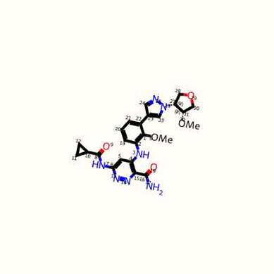 COc1c(Nc2cc(NC(=O)C3CC3)nnc2C(N)=O)cccc1-c1cnn([C@@H]2COC[C@@H]2OC)c1